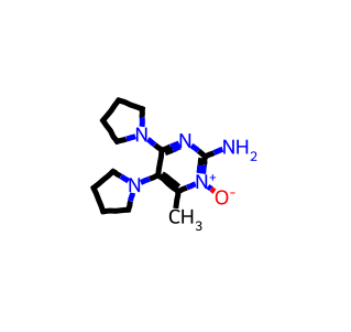 Cc1c(N2CCCC2)c(N2CCCC2)nc(N)[n+]1[O-]